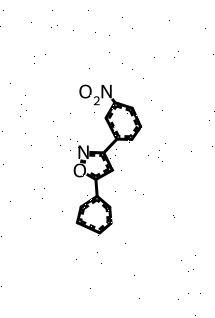 O=[N+]([O-])c1cccc(-c2cc(-c3ccccc3)on2)c1